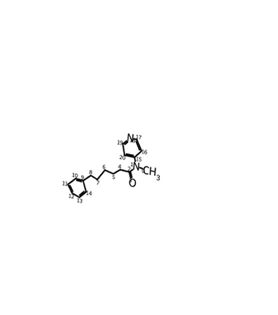 CN(C(=O)CCCCCc1ccccc1)c1ccncc1